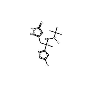 CC(C)(C)[S+]([O-])N[C@@](C)(Cc1cc(=O)[nH][nH]1)c1cc(Br)cs1